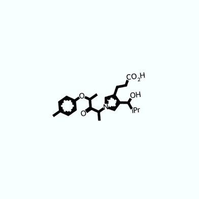 Cc1ccc(OC(C)C(=O)C(C)n2cc(CCC(=O)O)c(C(O)C(C)C)c2)cc1